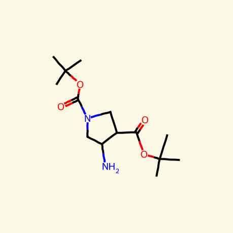 CC(C)(C)OC(=O)C1CN(C(=O)OC(C)(C)C)CC1N